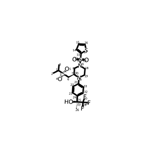 CC(C)S(=O)(=O)C[C@H]1CN(S(=O)(=O)c2cccs2)CCN1c1ccc([C@](C)(O)C(F)(F)F)cc1